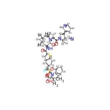 CCCN([C@@H](C)C(=O)O)[P@](=O)(Oc1ccccc1)[C@@H](F)c1ccc2sc(C(=O)N[C@H]3C[C@@H]4C[C@@H]4C[C@H]4CC[C@@H](C(=O)N5C[C@@H](c6cccnc6)[C@H](C#N)C56CC6)N4C3=O)cc2c1